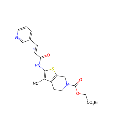 CCOC(=O)COC(=O)N1CCc2c(sc(NC(=O)/C=C/c3cccnc3)c2C#N)C1